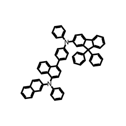 c1ccc(N(c2ccc(-c3ccc(N(c4ccccc4)c4ccc5ccccc5c4)c4ccccc34)cc2)c2ccc3c(c2)C(c2ccccc2)(c2ccccc2)c2ccccc2-3)cc1